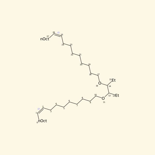 CCCCCCCC/C=C\CCCCCCCCOC(CC)C(CC)OCCCCCCCC/C=C\CCCCCCCC